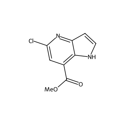 COC(=O)c1cc(Cl)nc2cc[nH]c12